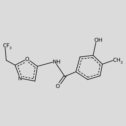 Cc1ccc(C(=O)Nc2cnc(CC(F)(F)F)o2)cc1O